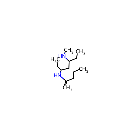 C=C(CCC)NC(CC)CC(CC)NC